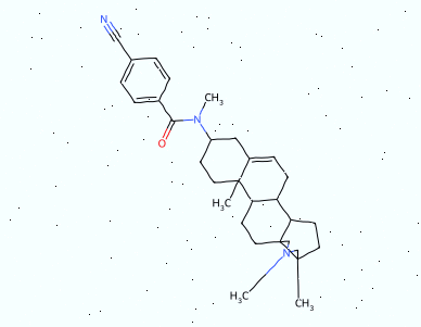 CC1C2CCC3C4CC=C5CC(N(C)C(=O)c6ccc(C#N)cc6)CCC5(C)C4CCC32CN1C